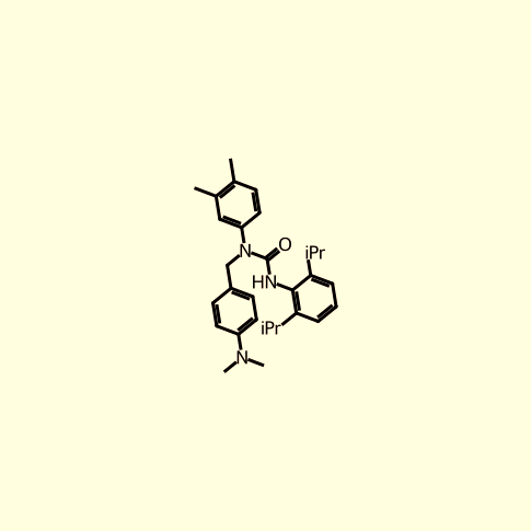 Cc1ccc(N(Cc2ccc(N(C)C)cc2)C(=O)Nc2c(C(C)C)cccc2C(C)C)cc1C